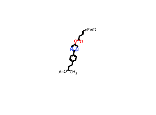 CCCCCC=CCC(=O)Oc1cnc(-c2ccc(CCC(C)OC(C)=O)cc2)nc1